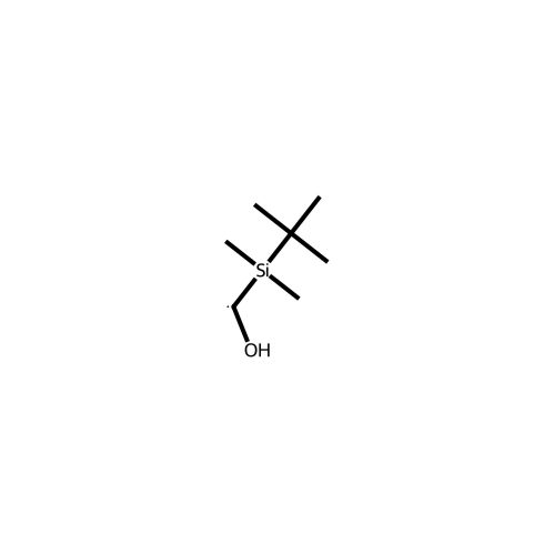 CC(C)(C)[Si](C)(C)[CH]O